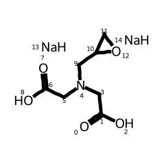 O=C(O)CN(CC(=O)O)CC1CO1.[NaH].[NaH]